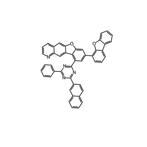 c1ccc(-c2nc(-c3ccc4ccccc4c3)nc(-c3cc(-c4cccc5c4oc4ccccc45)cc4oc5cc6cccnc6cc5c34)n2)cc1